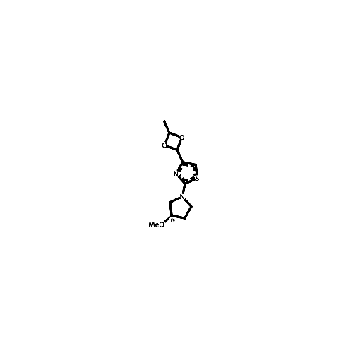 CO[C@@H]1CCN(c2nc(C3OC(C)O3)cs2)C1